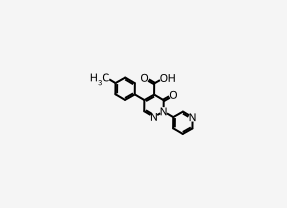 Cc1ccc(-c2cnn(-c3cccnc3)c(=O)c2C(=O)O)cc1